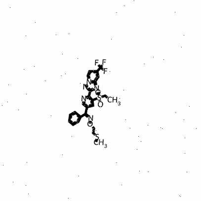 CCS(=O)(=O)c1cc(C(=NOCCSC)c2ccccc2)cnc1-c1nc2cc(C(F)(F)F)ccn2n1